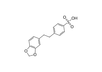 O=S(=O)(O)c1ccc(CCc2ccc3c(c2)OCO3)cc1